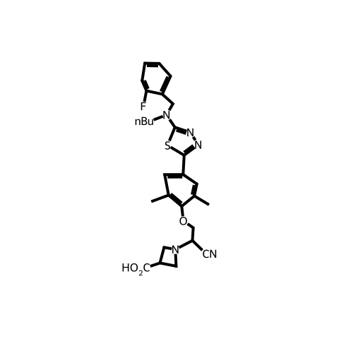 CCCCN(Cc1ccccc1F)c1nnc(-c2cc(C)c(OCC(C#N)N3CC(C(=O)O)C3)c(C)c2)s1